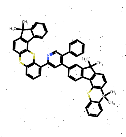 CC1(C)c2ccccc2-c2c1ccc1c2Sc2c(cccc2-c2cc(-c3ccc4c(c3)C(C)(C)c3ccc5c(c3-4)Sc3ccccc3[Si]5(C)C)c(-c3ccccc3)cn2)S1